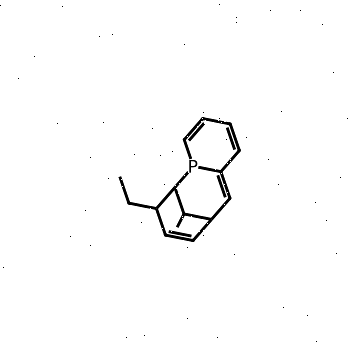 CCC1C=CC2C=C3C=CC=CP3C1C2C